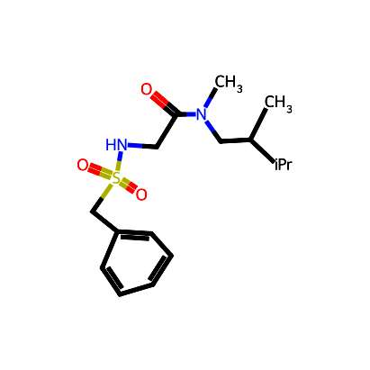 CC(C)C(C)CN(C)C(=O)CNS(=O)(=O)Cc1ccccc1